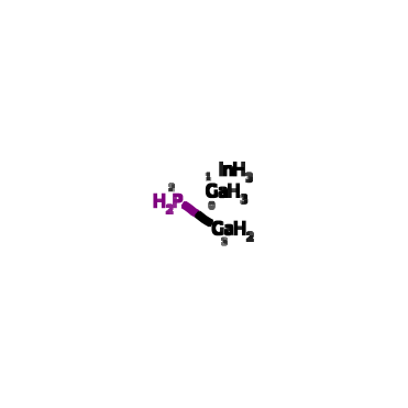 [GaH3].[InH3].[PH2][GaH2]